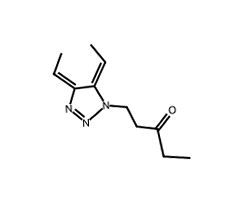 C/C=c1/nnn(CCC(=O)CC)/c1=C/C